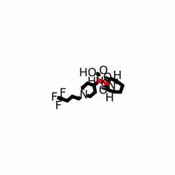 O=C(O)N[C@@H]1C[C@H]2CC[C@@H](C1)N2S(=O)(=O)CC1CCN(CCCC(F)(F)F)CC1